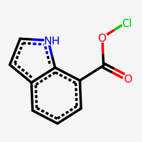 O=C(OCl)c1cccc2cc[nH]c12